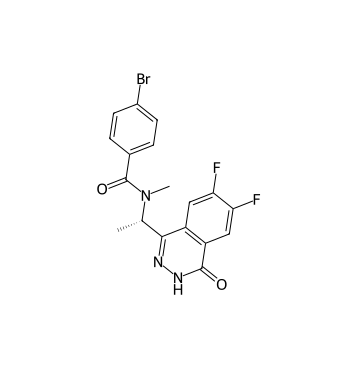 C[C@@H](c1n[nH]c(=O)c2cc(F)c(F)cc12)N(C)C(=O)c1ccc(Br)cc1